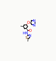 Cc1cc(Oc2cncnc2)cc(C(=O)Nc2ncc(C)s2)c1